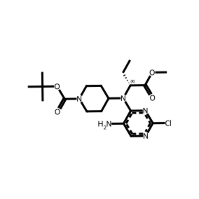 CC[C@H](C(=O)OC)N(c1nc(Cl)ncc1N)C1CCN(C(=O)OC(C)(C)C)CC1